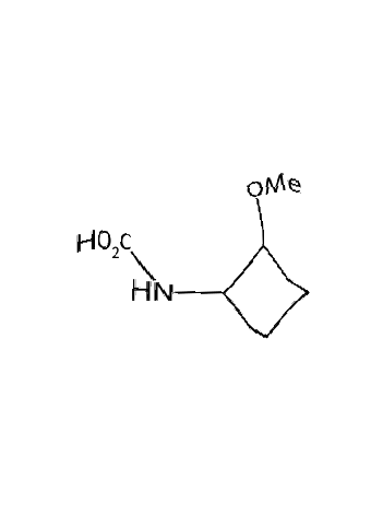 COC1CCC1NC(=O)O